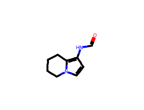 O=CNc1ccn2c1CCCC2